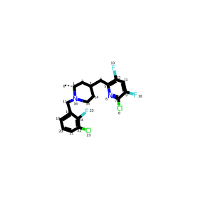 C[C@@H]1CC(Cc2nc(Cl)c(F)cc2F)CCN1Cc1cccc(Cl)c1F